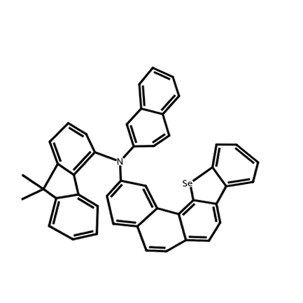 CC1(C)c2ccccc2-c2c(N(c3ccc4ccccc4c3)c3ccc4ccc5ccc6c7ccccc7[se]c6c5c4c3)cccc21